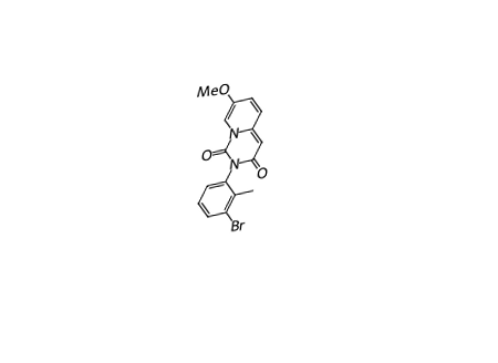 COc1ccc2cc(=O)n(-c3cccc(Br)c3C)c(=O)n2c1